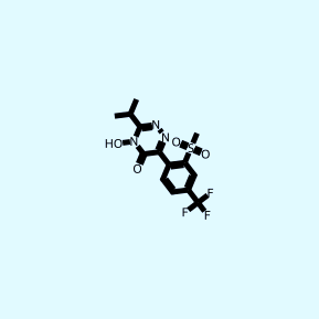 CC(C)c1nnc(-c2ccc(C(F)(F)F)cc2S(C)(=O)=O)c(=O)n1O